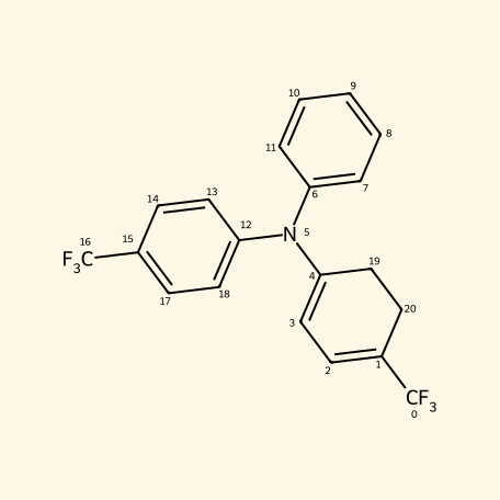 FC(F)(F)C1=CC=C(N(c2ccccc2)c2ccc(C(F)(F)F)cc2)CC1